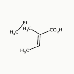 CC=C(C)C(=O)O.CCC